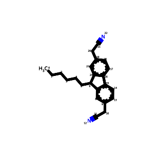 CCCCCCC1c2cc(CC#N)ccc2-c2ccc(CC#N)cc21